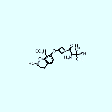 CC(C)(S)C(N)C(=O)N1CC(Oc2ccc3c(c2C(=O)O)OB(O)CC3)C1